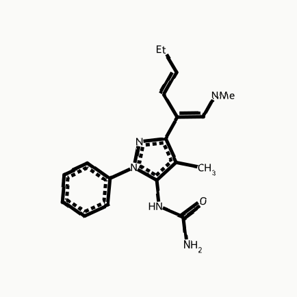 CC/C=C/C(=C\NC)c1nn(-c2ccccc2)c(NC(N)=O)c1C